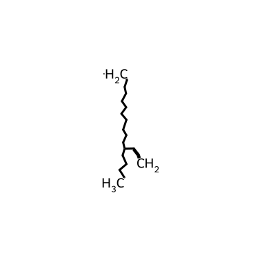 [CH2]CCCCCCCCCCC(C=C=C)CCCCC